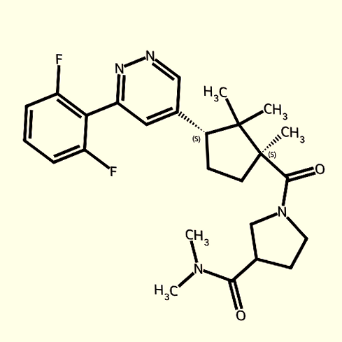 CN(C)C(=O)C1CCN(C(=O)[C@@]2(C)CC[C@H](c3cnnc(-c4c(F)cccc4F)c3)C2(C)C)C1